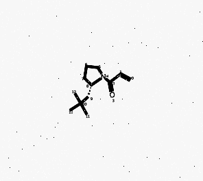 C=CC(=O)N1CCC[C@H]1CC(C)(C)C